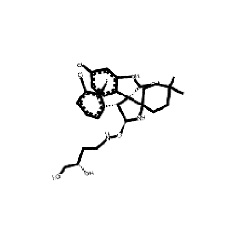 CC1(C)CCC2(CC1)N[C@@H](ONCC[C@H](O)CO)[C@H](c1cccc(Cl)c1F)[C@@]21c2ccc(Cl)cc2NC1O